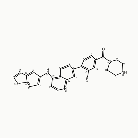 O=C(c1ccc(-c2ccc3c(Nc4ccc5scnc5c4)ccnc3c2)c(F)c1)N1CCNCC1